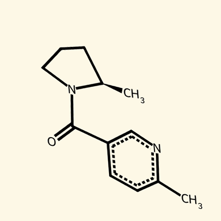 Cc1ccc(C(=O)N2CCC[C@H]2C)cn1